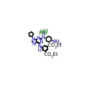 CCOC(=O)c1cc(Nc2nc(N[C@H]3CC[C@H](N)CC3)nc3c2ncn3C2CCCC2)cc(C(=O)OCC)c1.Cl.Cl